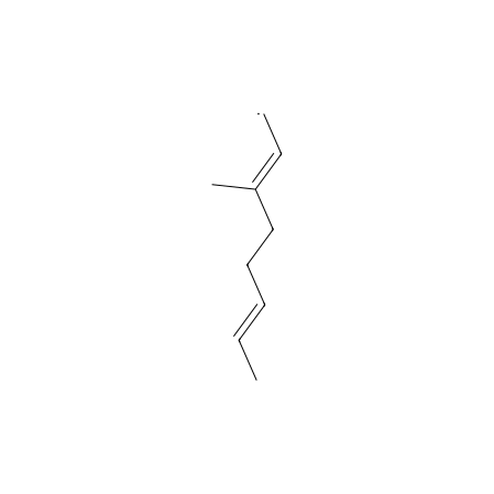 [CH2]/C=C(\C)CC/C=C/C